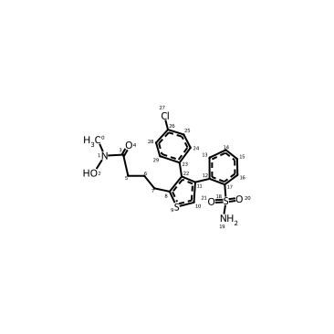 CN(O)C(=O)CCCc1scc(-c2ccccc2S(N)(=O)=O)c1-c1ccc(Cl)cc1